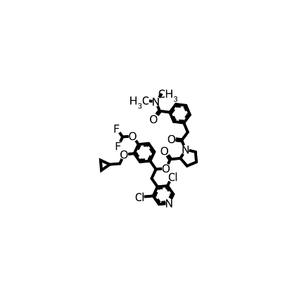 CN(C)C(=O)c1cccc(CC(=O)N2CCCC2C(=O)OC(Cc2c(Cl)cncc2Cl)c2ccc(OC(F)F)c(OCC3CC3)c2)c1